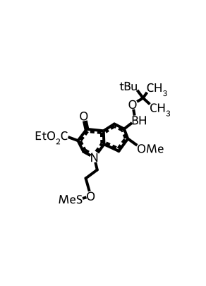 CCOC(=O)c1cn(CCOSC)c2cc(OC)c(BOC(C)(C)C(C)(C)C)cc2c1=O